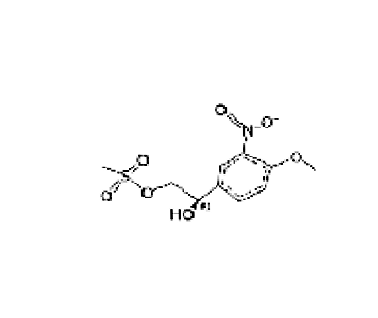 COc1ccc([C@@H](O)COS(C)(=O)=O)cc1[N+](=O)[O-]